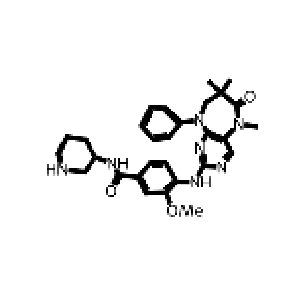 COc1cc(C(=O)NC2CCCNC2)ccc1Nc1ncc2c(n1)N(c1ccccc1)CC(C)(C)C(=O)N2C